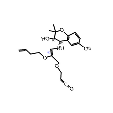 C=CCCO/C(=C/N[C@H]1c2cc(C#N)ccc2OC(C)(C)[C@@H]1O)COCC=C=O